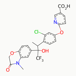 CC(c1ccc(Oc2ccc(C(=O)O)cn2)cc1Cl)C(O)(c1ccc2c(c1)N(C)C(=O)CO2)C(F)(F)F